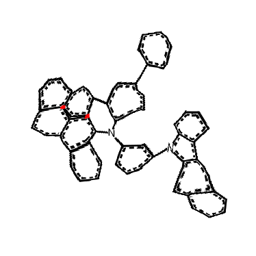 c1ccc(-c2ccc(N(c3cccc(-n4c5ccccc5c5cc6ccccc6cc54)c3)c3cc4c5ccccc5ccc4c4ccccc34)c(-c3ccccc3)c2)cc1